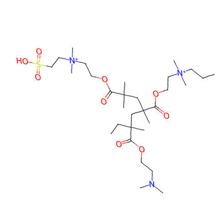 CCC[N+](C)(C)CCOC(=O)C(C)(CC(C)(C)C(=O)OCC[N+](C)(C)CCS(=O)(=O)O)CC(C)(CC)C(=O)OCCN(C)C